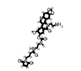 COc1cc2c(cc1OC(=O)N(C)CCNC(=O)CCCN1C(=O)C=CC1=O)c(=O)n(CCN)c1c3cc4c(cc3ncc21)OCO4